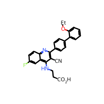 CCOc1ccccc1-c1ccc(-c2nc3ccc(F)cc3c(NCCC(=O)O)c2C#N)cc1